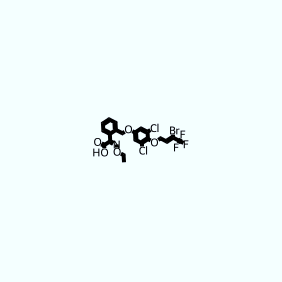 CCON=C(C(=O)O)c1ccccc1COc1cc(Cl)c(OCC=C(Br)C(F)(F)F)c(Cl)c1